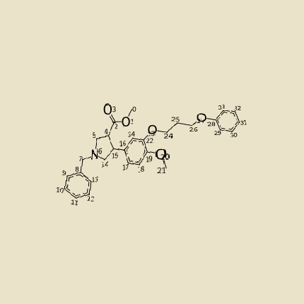 COC(=O)C1CN(Cc2ccccc2)CC1c1ccc(OC)c(OCCCOc2ccccc2)c1